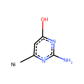 Cc1cc(O)nc(N)n1.[Ni]